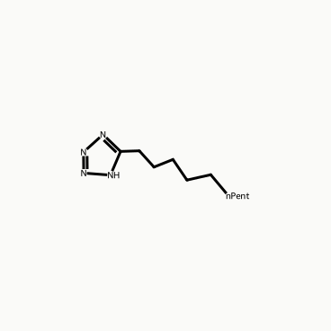 CCCCCCCCCCc1nnn[nH]1